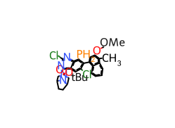 COCOc1cc(-c2c(Cl)cc3c(N4CC5CCC(C4)N5C(=O)OC(C)(C)C)nc(Cl)nc3c2P)c2ccccc2c1C